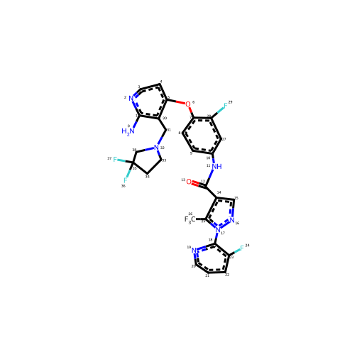 Nc1nccc(Oc2ccc(NC(=O)c3cnn(-c4ncccc4F)c3C(F)(F)F)cc2F)c1CN1CCC(F)(F)C1